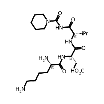 CC(C)[C@H](NC(=O)[C@H](CC(=O)O)NC(=O)[C@@H](N)CCCCN)C(=O)NC(=O)N1CCCCC1